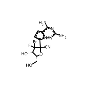 N#C[C@@]1(c2ccc3c(N)nc(N)nn23)O[C@H](CO)[C@H](O)C1(F)Br